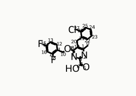 Cc1nc(C(=O)O)nc(OCc2ccc(F)cc2F)c1Cc1ccccc1Cl